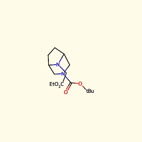 CCOC(=O)CN1C2CCC1CN(C(=O)OC(C)(C)C)C2